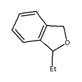 CCC1OCc2[c]cccc21